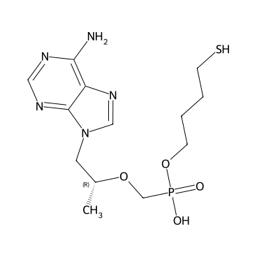 C[C@H](Cn1cnc2c(N)ncnc21)OCP(=O)(O)OCCCCS